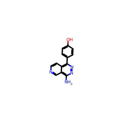 Nc1nnc(-c2ccc(O)cc2)c2ccncc12